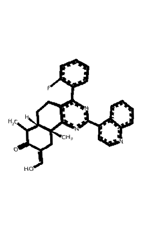 CC1C(=O)/C(=C\O)C[C@@]2(C)c3nc(-c4ccnc5ccccc45)nc(-c4ccccc4F)c3CC[C@@H]12